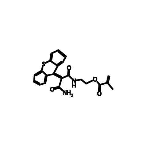 C=C(C)C(=O)OCCNC(=O)C(C(N)=O)=C1c2ccccc2Sc2ccccc21